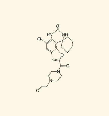 O=CCN1CCN(C(=O)c2cc3cc(Cl)c4c(c3o2)C2(CCCCC2)NC(=O)N4)CC1